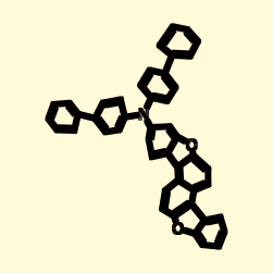 c1ccc(-c2ccc(N(c3ccc(-c4ccccc4)cc3)c3ccc4c(c3)oc3ccc5c(ccc6oc7ccccc7c65)c34)cc2)cc1